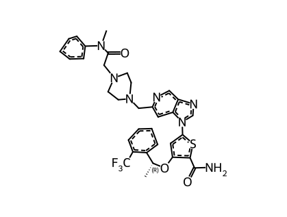 C[C@@H](Oc1cc(-n2cnc3cnc(CN4CCN(CC(=O)N(C)c5ccccc5)CC4)cc32)sc1C(N)=O)c1ccccc1C(F)(F)F